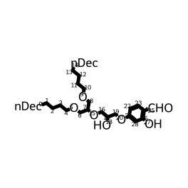 CCCCCCCCCCCCCCOCC(COCCCCCCCCCCCCCC)OCC(O)COc1ccc(C=O)c(O)c1